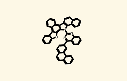 c1ccc2c(c1)ccc1ccc(-c3nc(-n4c5c6ccccc6ccc5c5c6ccccc6c6c7ccccc7oc6c54)nc4ccccc34)cc12